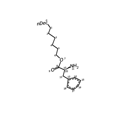 CCCCCCCCCCCCCCCCOC(=O)[C@@H](N)Cc1ccccc1